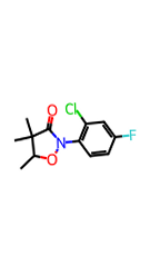 CC1ON(c2ccc(F)cc2Cl)C(=O)C1(C)C